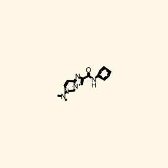 CN(C)N1C=CC2=NC(C(=O)Nc3ccccc3)=C[N+]2C1